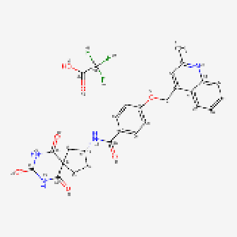 Cc1cc(COc2ccc(C(=O)N[C@@H]3CCC4(C3)C(=O)NC(=O)NC4=O)cc2)c2ccccc2n1.O=C(O)C(F)(F)F